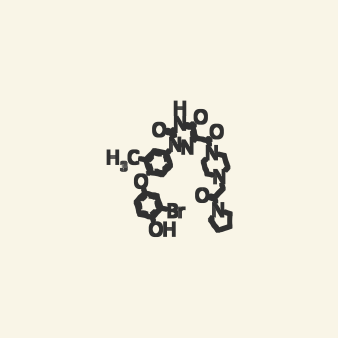 Cc1cc(-n2nc(C(=O)N3CCN(CC(=O)N4CCCC4)CC3)c(=O)[nH]c2=O)ccc1Oc1ccc(O)c(Br)c1